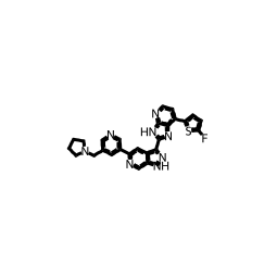 Fc1ccc(-c2ccnc3[nH]c(-c4n[nH]c5cnc(-c6cncc(CN7CCCC7)c6)cc45)nc23)s1